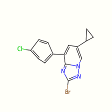 Clc1ccc(-c2cc(C3CC3)cn3nc(Br)nc23)cc1